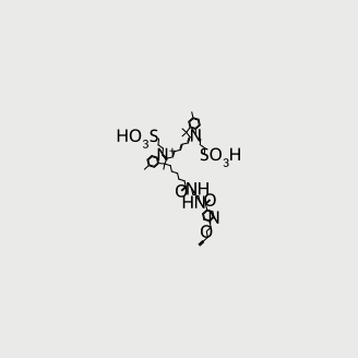 C#CCOCc1ccc(C(=O)NCCNC(=O)CCCCCC2(C)C(C=CC=CC=C3N(CCCS(=O)(=O)O)c4ccc(C)cc4C3(C)C)=[N+](CCCS(=O)(=O)O)c3ccc(C)cc32)cn1